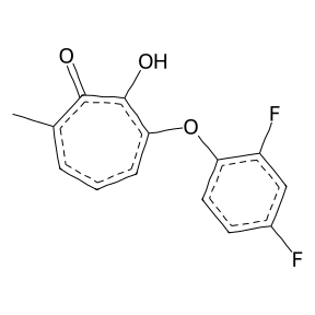 Cc1cccc(Oc2ccc(F)cc2F)c(O)c1=O